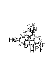 O=C1Nc2c(C(F)(F)F)cccc2C1(c1ccc(O)cc1)N1CCn2ccnc2C1